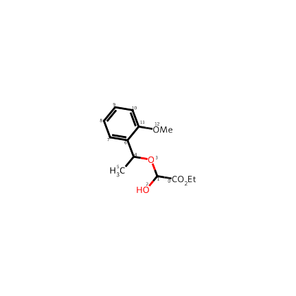 CCOC(=O)C(O)OC(C)c1ccccc1OC